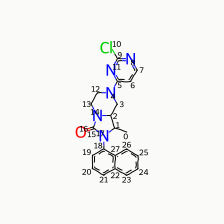 CC1C2CN(c3ccnc(Cl)n3)CCN2C(=O)N1c1cccc2ccccc12